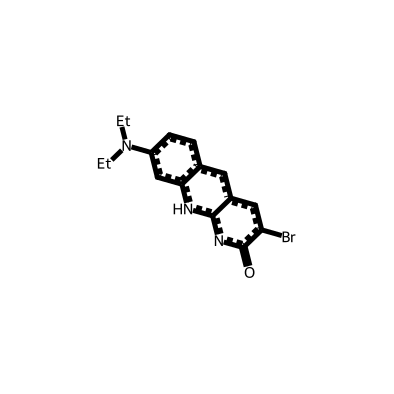 CCN(CC)c1ccc2cc3cc(Br)c(=O)nc-3[nH]c2c1